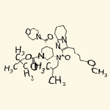 COCCCCc1c(C(=O)N(CC(C)C)[C@H]2C[C@@H](C(=O)N3CCOCC3)CN(C(=O)OC(C)(C)C)C2)nc2n1CCCC2